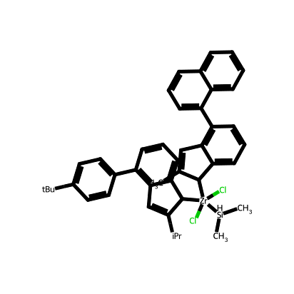 CC1=Cc2c(-c3cccc4ccccc34)cccc2[CH]1[Zr]([Cl])([Cl])([CH]1C(C(C)C)=Cc2c(-c3ccc(C(C)(C)C)cc3)cccc21)[SiH](C)C